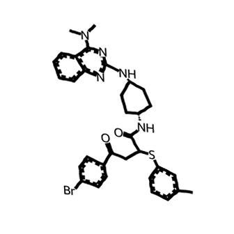 Cc1cccc(SC(CC(=O)c2ccc(Br)cc2)C(=O)N[C@H]2CC[C@@H](Nc3nc(N(C)C)c4ccccc4n3)CC2)c1